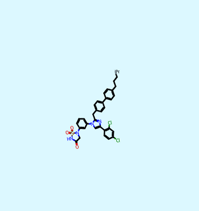 CC(C)CCCc1ccc(-c2ccc(Cc3nc(-c4ccc(Cl)cc4Cl)cn3-c3cccc(N4CC(=O)NS4(=O)=O)c3)cc2)cc1